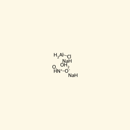 O.O=[NH+][O-].[AlH2][Cl].[NaH].[NaH]